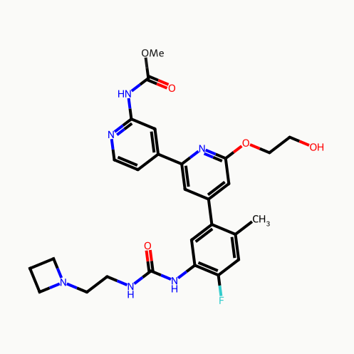 COC(=O)Nc1cc(-c2cc(-c3cc(NC(=O)NCCN4CCC4)c(F)cc3C)cc(OCCO)n2)ccn1